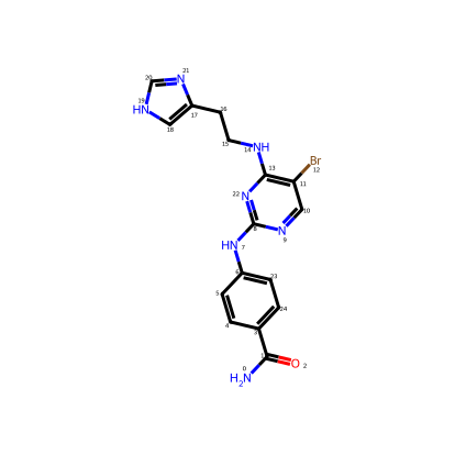 NC(=O)c1ccc(Nc2ncc(Br)c(NCCc3c[nH]cn3)n2)cc1